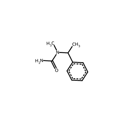 CC(c1ccccc1)N(C)C(N)=O